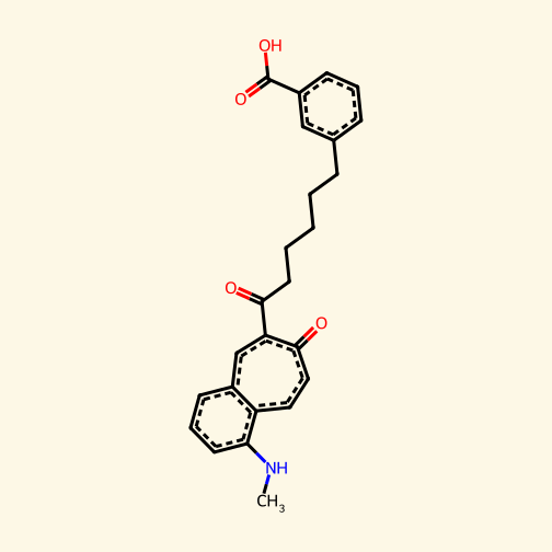 CNc1cccc2cc(C(=O)CCCCCc3cccc(C(=O)O)c3)c(=O)ccc12